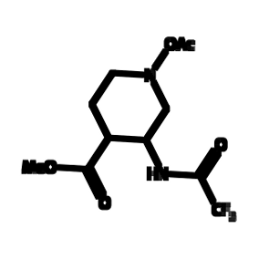 COC(=O)C1CCN(OC(C)=O)CC1NC(=O)C(F)(F)F